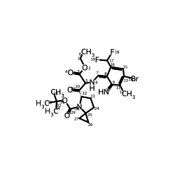 CCOC(=O)C(N/C=C1\C(=N)C(C)=C(Br)C=C1C(F)F)C(=O)[C@@H]1CCC2(CC2)N1C(=O)OC(C)(C)C